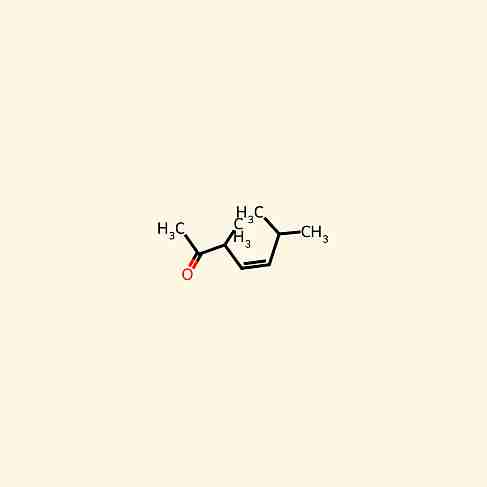 CC(=O)C(C)/C=C\C(C)C